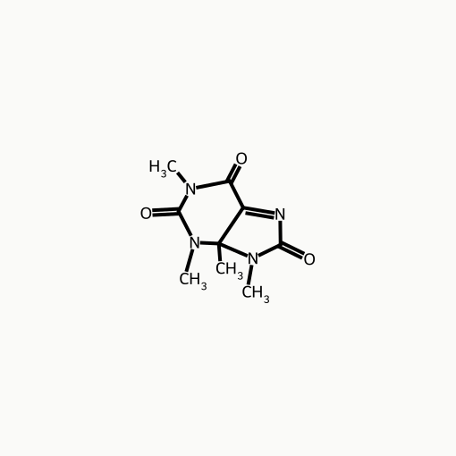 CN1C(=O)C2=NC(=O)N(C)C2(C)N(C)C1=O